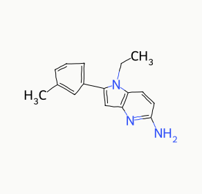 CCn1c(-c2cccc(C)c2)cc2nc(N)ccc21